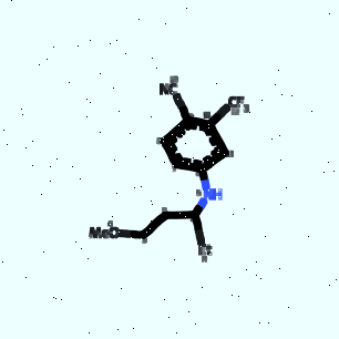 CCC(CCOC)Nc1ccc(C#N)c(C(F)(F)F)c1